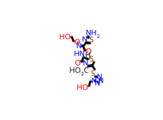 Nc1nc(C(=NOCCO)C(=O)NC2C(=O)N3C(C(=O)O)=C(CSc4nnnn4CCO)CS[C@@H]23)cs1